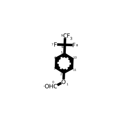 O=[C]Oc1ccc(C(F)(F)C(F)(F)F)cc1